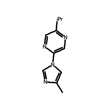 Cc1cn(-c2cnc(C(C)C)cn2)cn1